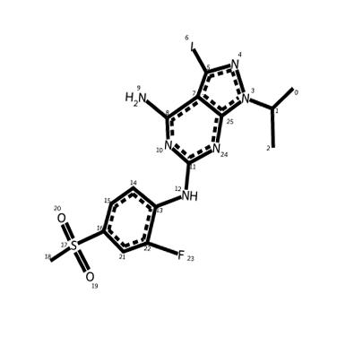 CC(C)n1nc(I)c2c(N)nc(Nc3ccc(S(C)(=O)=O)cc3F)nc21